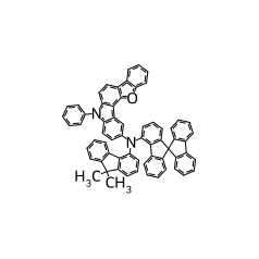 CC1(C)c2ccccc2-c2c(N(c3ccc4c(c3)c3c5oc6ccccc6c5ccc3n4-c3ccccc3)c3cccc4c3-c3ccccc3C43c4ccccc4-c4ccccc43)cccc21